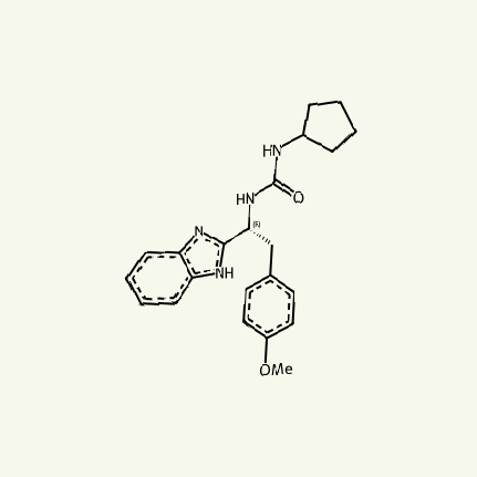 COc1ccc(C[C@@H](NC(=O)NC2CCCC2)c2nc3ccccc3[nH]2)cc1